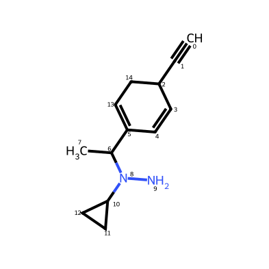 C#CC1C=CC(C(C)N(N)C2CC2)=CC1